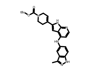 Cc1n[nH]c2ccc(Nc3ccnc4[nH]c(C5=CCN(C(=O)OC(C)(C)C)CC5)cc34)cc12